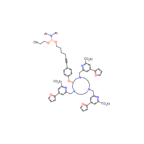 [C-]#[N+]CCOP(OCCCCC#Cc1ccc(OC2CN(Cc3cc(-c4ccco4)cc(C(=O)OCC)n3)CCCN(Cc3cc(-c4ccco4)cc(C(=O)OCC)n3)CCCN(Cc3cc(-c4ccco4)cc(C(=O)OCC)n3)C2)cc1)N(C(C)C)C(C)C